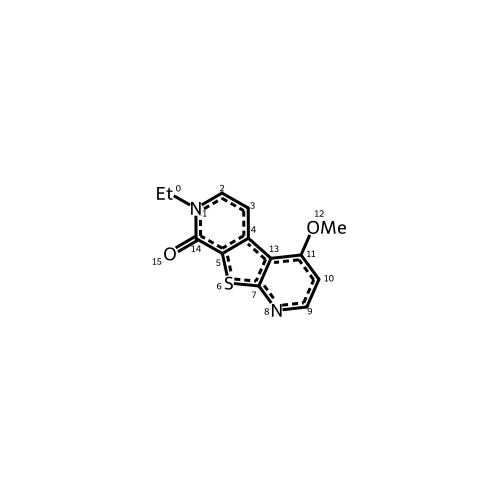 CCn1ccc2c(sc3nccc(OC)c32)c1=O